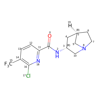 O=C(N[C@@H]1C[C@H]2CCN(C2)C1)c1ccc(C(F)(F)F)c(Cl)n1